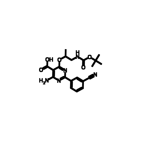 CC(CNC(=O)OC(C)(C)C)Oc1nc(-c2cccc(C#N)c2)nc(N)c1C(=O)O